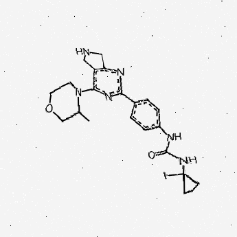 CC1COCCN1c1nc(-c2ccc(NC(=O)NC3(I)CC3)cc2)nc2c1CNC2